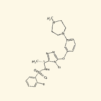 CCn1c(Oc2cccc(N3CCN(C)CC3)c2)nnc1[C@@H](C)NS(=O)(=O)c1ccccc1F